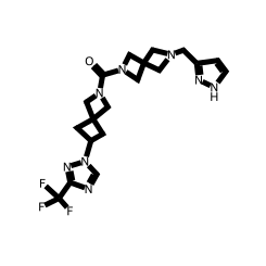 O=C(N1CC2(CC(n3cnc(C(F)(F)F)n3)C2)C1)N1CC2(CN(Cc3cc[nH]n3)C2)C1